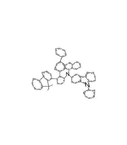 CC1(C)c2ccccc2-c2cccc(-c3cccc(N(c4ccc5c(c4)c4ccccc4n5-c4ccccc4)c4cccc5ccccc45)c3-c3ccc(-c4ccccc4)cc3)c21